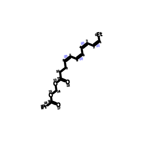 CC\C=C/C=C\C=C/C=C\CCC(=O)OCOC(=O)C(C)C